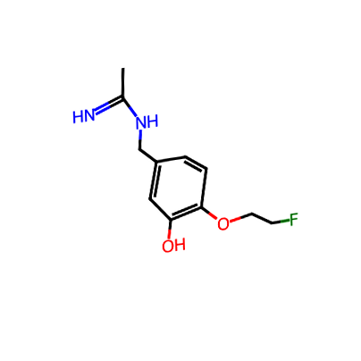 CC(=N)NCc1ccc(OCCF)c(O)c1